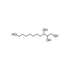 OCCCCCCCC(O)C(O)CO